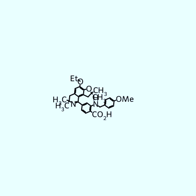 CCOc1cc2c(c3c1OC(C)(C)C3)C(c1ccc(C(=O)O)c(NCc3ccc(OC)cc3)c1)=NC(C)(C)C2